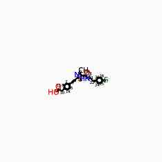 Cc1nc(C#Cc2ccc(CC(=O)O)cc2)sc1C(=O)NCCc1ccc(F)cc1